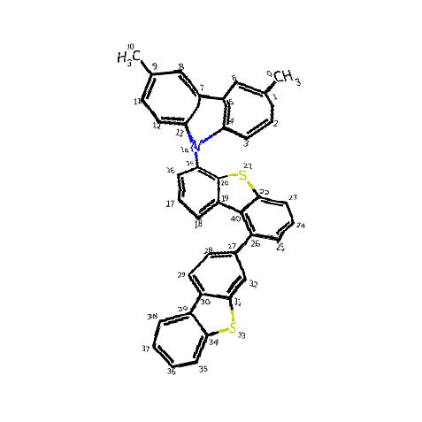 Cc1ccc2c(c1)c1cc(C)ccc1n2-c1cccc2c1sc1cccc(-c3ccc4c(c3)sc3ccccc34)c12